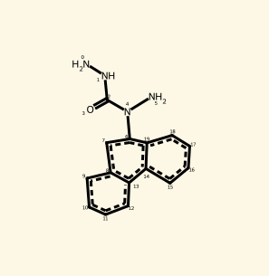 NNC(=O)N(N)c1cc2ccccc2c2ccccc12